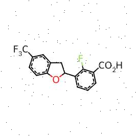 O=C(O)c1cccc(C2Cc3cc(C(F)(F)F)ccc3O2)c1F